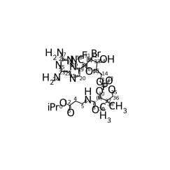 CC(C)OC(=O)CCNC(=O)[C@@H]1OP(=O)(OC[C@H]2O[C@@](C#N)(c3cnc4c(N)nc(N)nn34)[C@@](F)(Br)C2O)OCC1(C)C